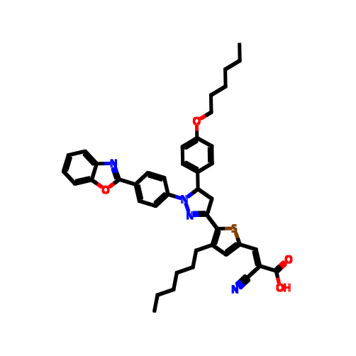 CCCCCCOc1ccc(C2CC(c3sc(/C=C(\C#N)C(=O)O)cc3CCCCCC)=NN2c2ccc(-c3nc4ccccc4o3)cc2)cc1